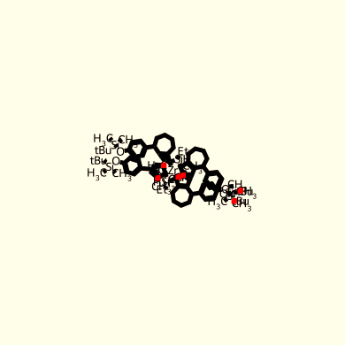 CC[SiH]1[C]2(C(C)=CC3=C2CCCCC3c2ccc(O[Si](C)(C)C(C)(C)C)cc2)[Zr]2([Cl])([Cl])([C]13C(C)=CC1=C3CCCCC1c1ccc(O[Si](C)(C)C(C)(C)C)cc1)[C]1(C(C)=CC3=C1CCCCC3c1ccc(O[Si](C)(C)C(C)(C)C)cc1)[SiH](CC)[C]21C(C)=CC2=C1CCCCC2c1ccc(O[Si](C)(C)C(C)(C)C)cc1